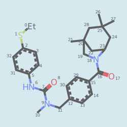 CCSc1ccc(NC(=O)N(C)Cc2ccc(C(=O)N3CC4(C)CC3CC(C)(C)C4)cc2)cc1